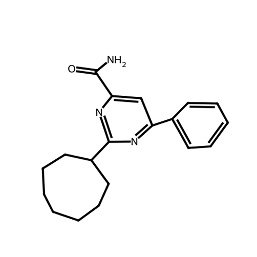 NC(=O)c1cc(-c2ccccc2)nc(C2CCCCCCC2)n1